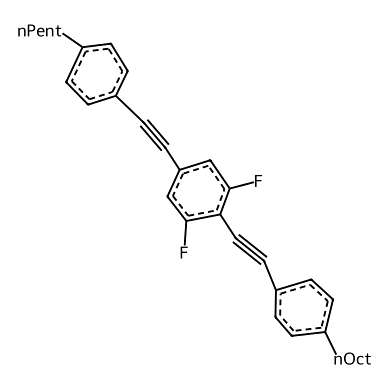 CCCCCCCCc1ccc(C#Cc2c(F)cc(C#Cc3ccc(CCCCC)cc3)cc2F)cc1